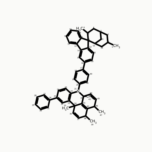 CC1CC2CC(C)C3(c4ccccc4-c4cc(-c5ccc(N6c7ccc(-c8ccccc8)cc7C7(C)C=CC(C)C8=C7C6(C)C=CC8C)cc5)ccc43)C(C1)C2